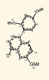 COc1ccc(-c2nnc(Cl)c3cc(OC)ccc23)c(OC)c1